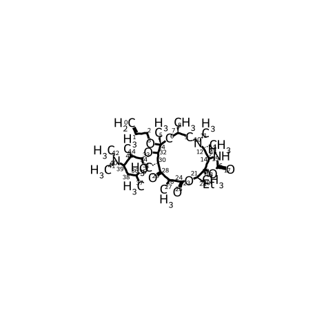 C=CCO[C@]1(C)C[C@@H](C)CN(C)[C@H](C)[C@H]2NC(=O)O[C@]2(C)[C@@H](CC)OC(=O)C(C)C(=O)[C@H](C)C1O[C@@H]1OC(C)CC(N(C)C)C1C